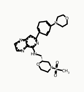 CS(=O)(=O)N1CCO[C@H](CNc2nc(C3=CCC=C(N4CCOCC4)C=C3)cc3nccnc23)C1